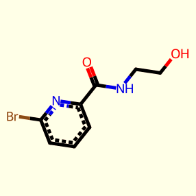 O=C(NCCO)c1cccc(Br)n1